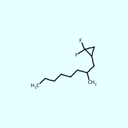 CCCCCCC(C)CC1CC1(F)F